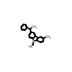 C#Cn1c2ccc(C)cc2c2cc(C(C)c3ccccc3)ccc21